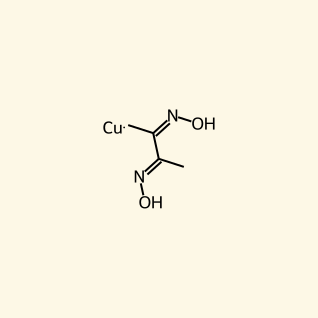 CC(=NO)C(C)=NO.[Cu]